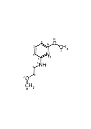 COCCNc1cccc(OC)n1